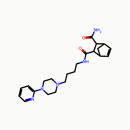 NC(=O)C1C2C=CC(C2)C1C(=O)NCCCCN1CCN(c2ccccn2)CC1